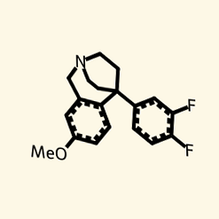 COc1ccc2c(c1)CN1CCC2(c2ccc(F)c(F)c2)CC1